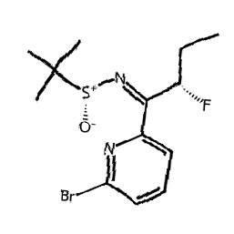 CC[C@H](F)/C(=N/[S@+]([O-])C(C)(C)C)c1cccc(Br)n1